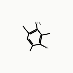 CC(=O)c1c(C)cc(C)c(N)c1C